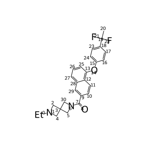 CCN1CC2(C1)CN(C(=O)c1ccc3c(Oc4ccc(C(C)(F)F)cc4)cccc3c1)C2